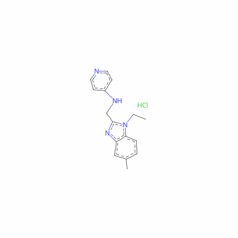 CCn1c(CNc2ccncc2)nc2cc(C)ccc21.Cl